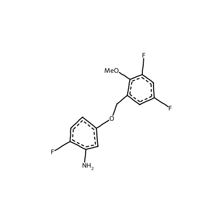 COc1c(F)cc(F)cc1COc1ccc(F)c(N)c1